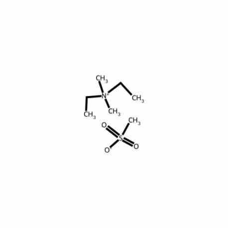 CC[N+](C)(C)CC.CS(=O)(=O)[O-]